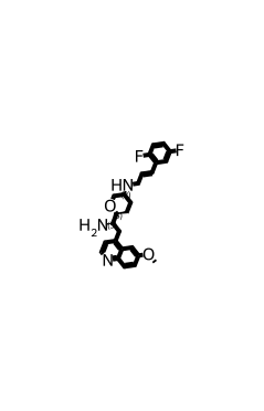 COc1ccc2nccc(C[C@H](N)[C@@H]3CC[C@@H](NCC=Cc4cc(F)ccc4F)CO3)c2c1